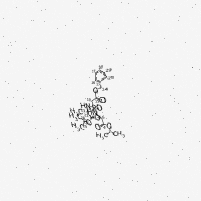 CC(C)OC(=O)CNP(=O)(CC(=O)OCc1ccccc1)N[C@@H](C)C(=O)OC(C)C